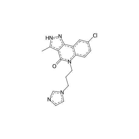 Cc1[nH]nc2c1c(=O)n(CCCn1ccnc1)c1ccc(Cl)cc21